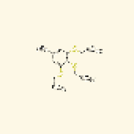 [CH2]CCc1cc(SCCCCCCCCCCC)c(SCCCCCCCCCCC)c(SCCCCCCCCCCC)c1